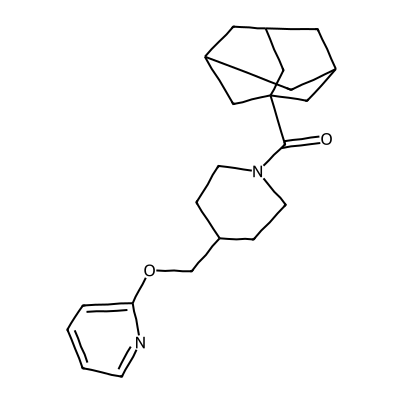 O=C(N1CCC(COc2ccccn2)CC1)C12CC3CC(CC(C3)C1)C2